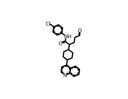 O=CCCC(C(=O)Nc1ccc(Cl)cc1)C1CCC(c2ccnc3ccccc23)CC1